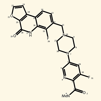 CNC(=O)c1ncc(N2CCN(Cc3ccc4c([nH]c(=O)c5occc54)c3F)CC2)cc1F